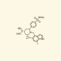 CC(=O)NS(=O)(=O)c1ccc(C2CCCCN2Cc2c(C3CC3)cc(C)c3[nH]ccc23)cc1.CC(C)(C)OC=O